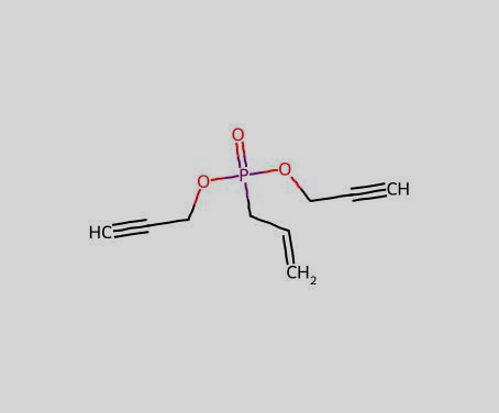 C#CCOP(=O)(CC=C)OCC#C